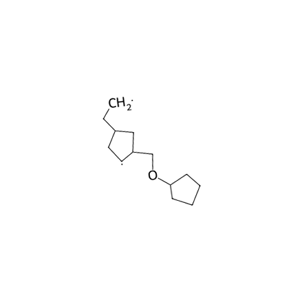 [CH2]CC1C[CH]C(COC2CCCC2)C1